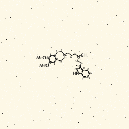 COc1cc2c(cc1OC)CCN(CCCN(C)CCc1c[nH]c3ccccc13)CC2